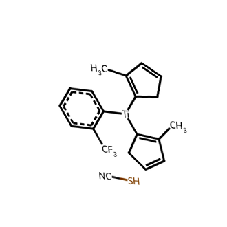 CC1=[C]([Ti]([C]2=C(C)C=CC2)[c]2ccccc2C(F)(F)F)CC=C1.N#CS